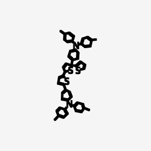 Cc1ccc(N(c2ccc(C)cc2)c2ccc(-c3ccc(C4C=CC(c5ccc(N(c6ccc(C)cc6)c6ccc(C)cc6)cc5)(c5cccs5)S4)s3)cc2)cc1